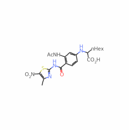 CCCCCCC(Nc1ccc(C(=O)Nc2nc(C)c([N+](=O)[O-])s2)c(NC(C)=O)c1)C(=O)O